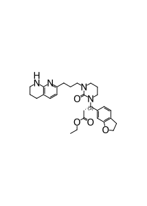 CCOC(=O)C[C@@H](c1ccc2c(c1)OCC2)N1CCCN(CCCc2ccc3c(n2)NCCC3)C1=O